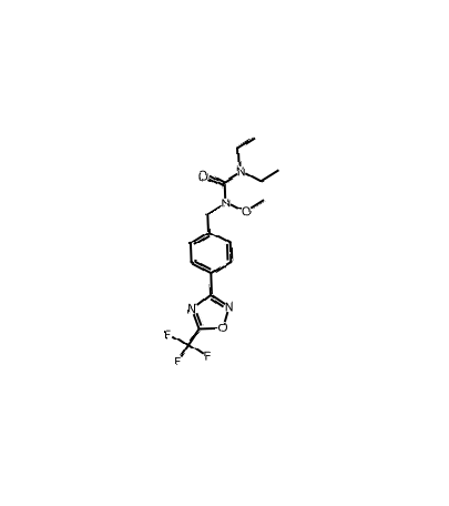 CCN(CC)C(=O)N(Cc1ccc(-c2noc(C(F)(F)F)n2)cc1)OC